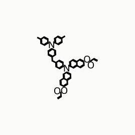 C=CC(=O)Oc1ccc2cc(N(c3ccc(Cc4ccc(N(c5ccc(C)cc5)c5ccc(C)cc5)cc4)cc3)c3ccc4cc(OC(=O)C=C)ccc4c3)ccc2c1